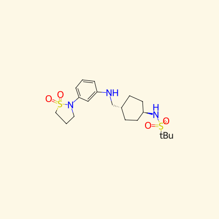 CC(C)(C)S(=O)(=O)N[C@H]1CC[C@H](CNc2cccc(N3CCCS3(=O)=O)c2)CC1